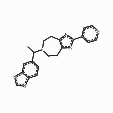 CC(c1ccc2scnc2c1)N1CCc2nc(-c3ccncc3)sc2CC1